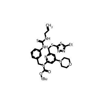 C=CCNC(=S)Nc1cccc(CN(C(=O)OC(C)(C)C)c2cc(N3CCOCC3)cc(CSc3nnc(CC)s3)n2)c1